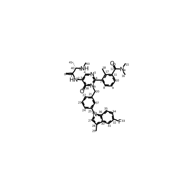 C=C(Nc1cnc(-c2cccc(C(=O)N(C)C)c2C)n(Cc2cccc(-n3cc(C)c4cc(F)ccc43)c2)c1=O)[C@H](C)NC